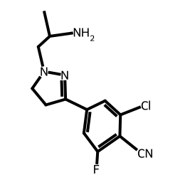 CC(N)CN1CCC(c2cc(F)c(C#N)c(Cl)c2)=N1